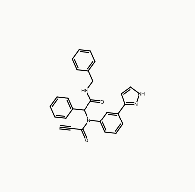 C#CC(=O)N(c1cccc(-c2cc[nH]n2)c1)C(C(=O)NCc1ccccc1)c1ccccc1